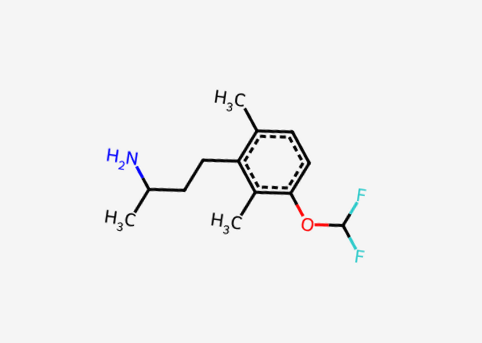 Cc1ccc(OC(F)F)c(C)c1CCC(C)N